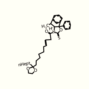 CCCCCCCC1(CCCCCC/C=C/CC(=O)N2C(=S)OC3(c4ccccc4)c4cccc(c4)C(C)[C@H]23)OCCO1